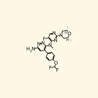 C[C@@H]1CN(c2ncc(F)c(N(C)c3nnc(N)cc3-c3ccc(OC(F)F)cc3)n2)C[C@H](C)O1